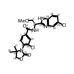 COC[C@H](NC(=O)c1ccc(N2C(=O)OCC2(C)C)c(Cl)c1)c1nc2cc(Cl)ccc2[nH]1